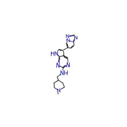 CN1CCC(CNc2ncc3c(-c4ccc5ncnn5c4)c[nH]c3n2)CC1